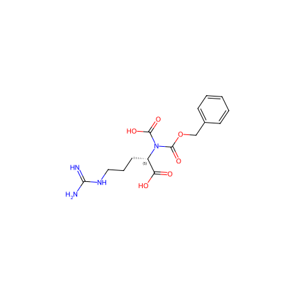 N=C(N)NCCC[C@@H](C(=O)O)N(C(=O)O)C(=O)OCc1ccccc1